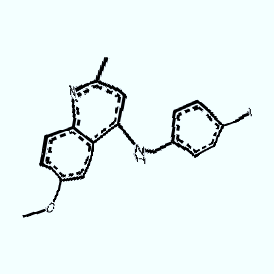 COc1ccc2nc(C)cc(Nc3ccc(I)cc3)c2c1